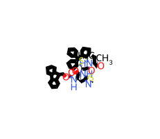 CC(C)[C@H]([C]=O)NC(=O)[C@@H](CSC(c1ccccc1)(c1ccccc1)c1ccccc1)NC(=O)[C@@H](Cc1cscn1)NC(=O)OCC1c2ccccc2-c2ccccc21